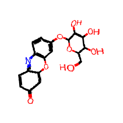 O=C1C=CC2=Nc3ccc(OC4OC(CO)C(O)C(O)C4O)cc3OC2C1